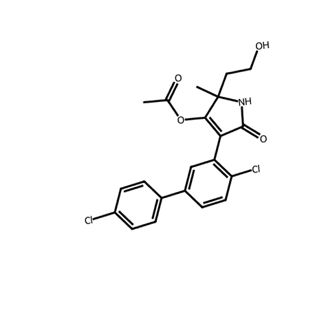 CC(=O)OC1=C(c2cc(-c3ccc(Cl)cc3)ccc2Cl)C(=O)NC1(C)CCO